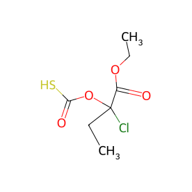 CCOC(=O)C(Cl)(CC)OC(=O)S